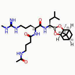 CNC(=N)NCCC[C@H](NC(=O)CCCNC(C)=O)C(=O)N[C@@H](CC(C)C)B1O[C@@H]2C[C@@H]3C[C@@H](C3(C)C)[C@]2(C)O1